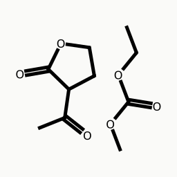 CC(=O)C1CCOC1=O.CCOC(=O)OC